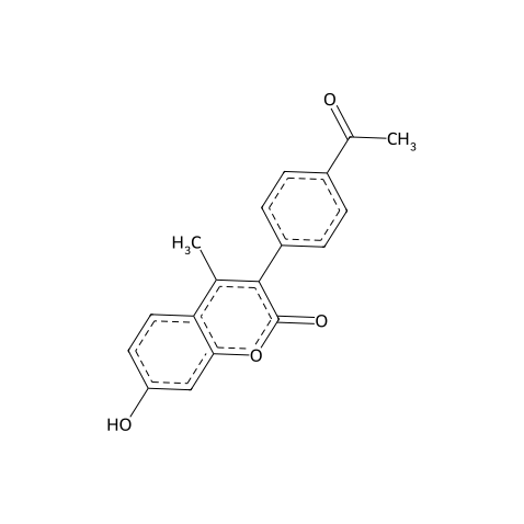 CC(=O)c1ccc(-c2c(C)c3ccc(O)cc3oc2=O)cc1